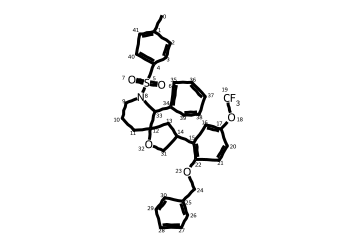 Cc1ccc(S(=O)(=O)N2CCCC3(CC(c4cc(OC(F)(F)F)ccc4OCc4ccccc4)CO3)C2c2ccccc2)cc1